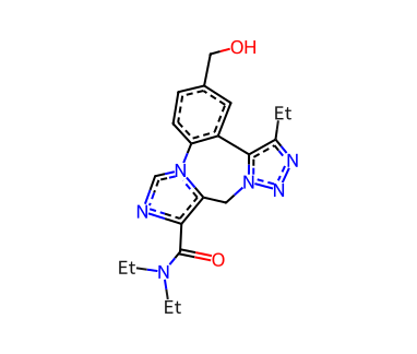 CCc1nnn2c1-c1cc(CO)ccc1-n1cnc(C(=O)N(CC)CC)c1C2